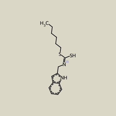 CCCCCCS/C(S)=N\Cc1cc2ccccc2[nH]1